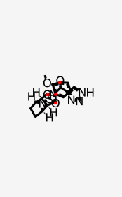 COc1ccccc1S(=O)(=O)N1[C@@H]2CC[C@H]1[C@H]1CN(C(=O)c3c[nH]nn3)C[C@H]12